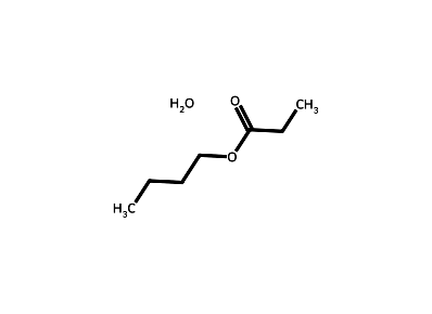 CCCCOC(=O)CC.O